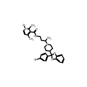 Cc1cc[n+]([O-])c(C)c1C(=O)NCCC(C)N1CCC(C2(c3ccc(Br)cc3)Oc3ccccc3O2)CC1